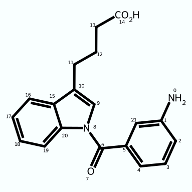 Nc1cccc(C(=O)n2cc(CCCC(=O)O)c3ccccc32)c1